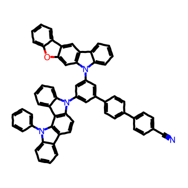 N#Cc1ccc(-c2ccc(-c3cc(-n4c5ccccc5c5cc6c(cc54)oc4ccccc46)cc(-n4c5ccccc5c5c4ccc4c6ccccc6n(-c6ccccc6)c45)c3)cc2)cc1